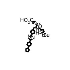 CC(C)(C)c1ccc(C(=O)N[C@@H](Cc2ccc(-c3ncc(-c4ccc(C5CCCC5)cc4)cn3)cc2)C(=O)N2CC(C(=O)O)C2)s1